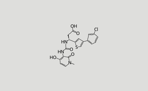 Cn1ccc(O)c(NC(=O)N[C@@H](CC(=O)O)c2cc(-c3cccc(Cl)c3)cs2)c1=O